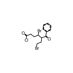 O=C(Cl)CCC(Br)C(CCBr)C(=O)c1ccccc1